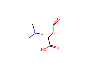 CN(C)C.O=COCC(=O)O